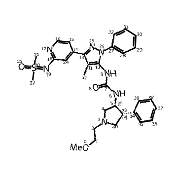 COCCN1C[C@@H](NC(=O)Nc2c(C)c(-c3ccnc(N=S(C)(C)=O)c3)nn2-c2ccccc2)[C@H](c2ccccc2)C1